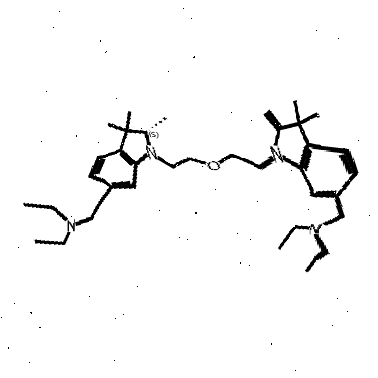 C=C1N(CCOCCN2c3cc(CN(CC)CC)ccc3C(C)(C)[C@@H]2C)c2cc(CN(CC)CC)ccc2C1(C)C